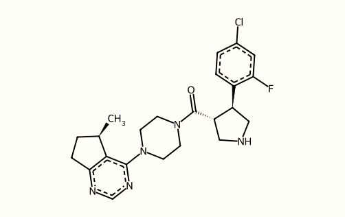 C[C@@H]1CCc2ncnc(N3CCN(C(=O)[C@H]4CNC[C@@H]4c4ccc(Cl)cc4F)CC3)c21